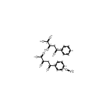 O=C([O-])C(=O)CC(=O)c1ccccc1.O=C([O-])C(=O)CC(=O)c1ccccc1.[O]=[V+2]